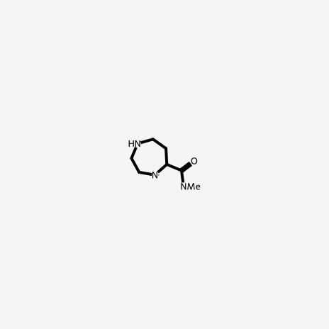 CNC(=O)C1CCNCC[N]1